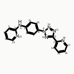 c1ccc(Nc2ccc(-n3nnc(-c4ccccn4)n3)cc2)nc1